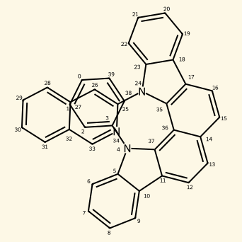 c1ccc(-n2c3ccccc3c3ccc4ccc5c6ccccc6n(-c6cc7ccccc7cn6)c5c4c32)cc1